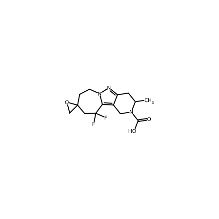 CC1Cc2nn3c(c2CN1C(=O)O)C(F)(F)CC1(CC3)CO1